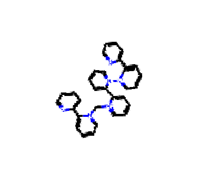 c1ccc(-c2cccc[n+]2C[n+]2ccccc2-c2cccc[n+]2-[n+]2ccccc2-c2ccccn2)nc1